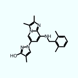 Cc1cn(-c2cc(NCc3c(C)cccc3C)c3nc(C)c(C)n3c2)nc1O